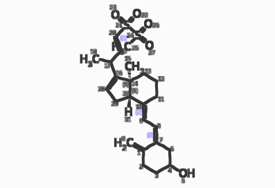 C=C1CCC(O)C/C1=C/C=C1\CCC[C@]2(C)C(C(C)/C=C/S(=O)(=O)S(C)(=O)=O)=CC[C@@H]12